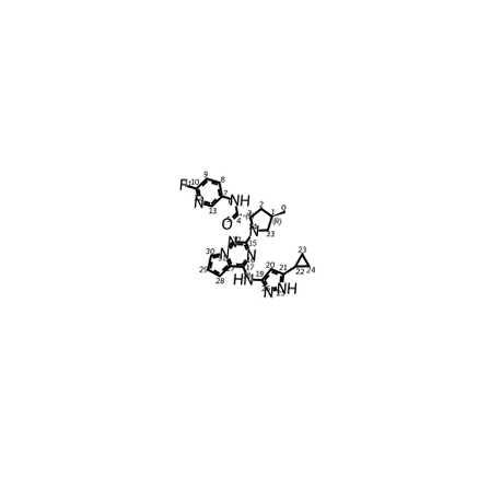 C[C@@H]1C[C@@H](C(=O)Nc2ccc(F)nc2)N(c2nc(Nc3cc(C4CC4)[nH]n3)c3cccn3n2)C1